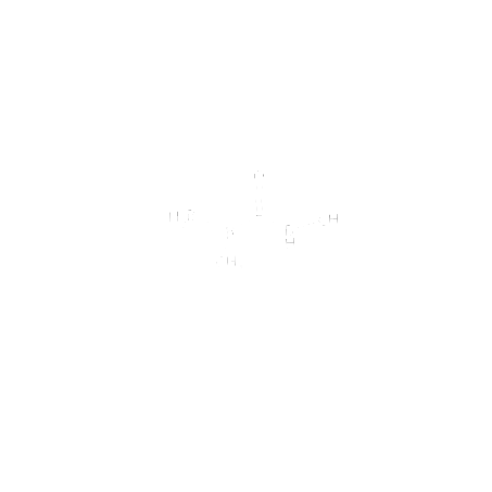 BB(C)C(=O)BC